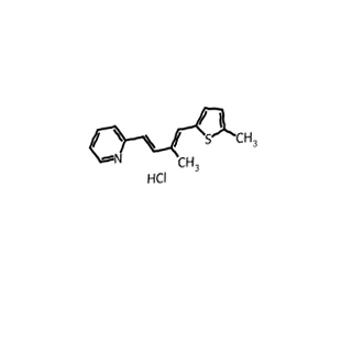 CC(C=Cc1ccccn1)=Cc1ccc(C)s1.Cl